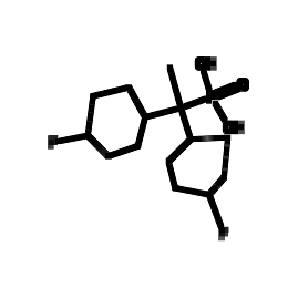 CC(C1CCC(F)CC1)(C1CCC(F)CC1)P(=O)(O)O